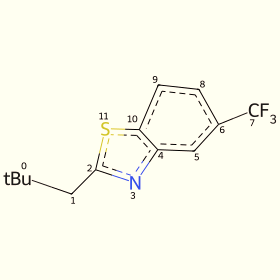 CC(C)(C)Cc1nc2cc(C(F)(F)F)ccc2s1